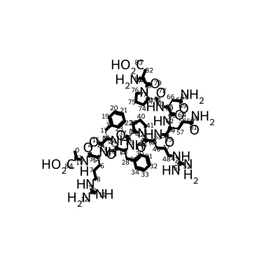 C[C@H](NC(=O)[C@H](CCCNC(=N)N)NC(=O)[C@H](Cc1ccccc1)NC(=O)[C@H](Cc1ccccc1)NC(=O)[C@@H]1CCCN1C(=O)[C@H](CCCNC(=N)N)NC(=O)[C@H](CCC(N)=O)NC(=O)[C@H](CC(N)=O)NC(=O)[C@@H]1CCCN1C(=O)[C@@H](N)CC(=O)O)C(=O)O